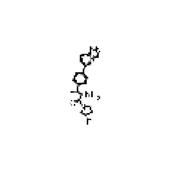 C[C@@H](c1ccc(-c2ccc3nncn3c2)cc1)[C@H](N)C(=O)N1CC[C@H](F)C1